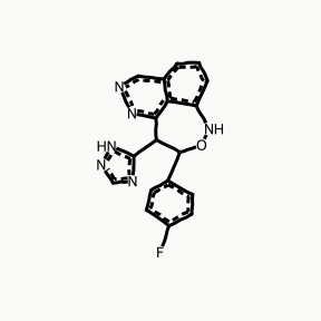 Fc1ccc(C2ONc3cccc4cnnc(c34)C2c2ncn[nH]2)cc1